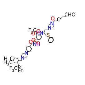 CCC1(C(F)(F)F)CC1C1=C(CN2CCN(c3ccc(C(=O)NS(=O)(=O)c4ccc(NC(CCN5CCN(C(=O)CCCCCC=O)CC5)CSc5ccccc5)c(S(=O)(=O)C(F)(F)F)c4)cc3)CC2)CCC(C)(C)C1